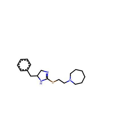 c1ccc(CC2CN=C(SCCN3CCCCCC3)N2)cc1